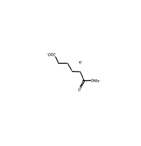 COC(=O)CCCCC(=O)[O-].[K+]